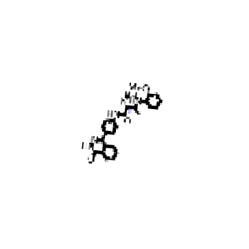 COc1ccccc1N/C(C)=C(\N=N)C(=O)Nc1ccc(-c2n[nH]c(=O)c3ccccc23)cc1